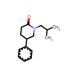 CC(C)CN1CC(c2ccccc2)CCC1=O